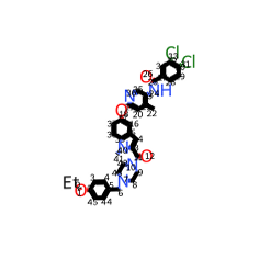 CCOc1ccc(CN2CCN(C(=O)c3cc4cc(Oc5cc(C)c(NC(=O)c6ccc(Cl)c(Cl)c6)cn5)ccc4n3C)CC2)cc1